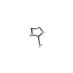 SC1[N]CCN1